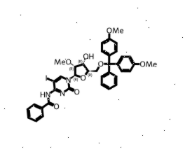 COc1ccc(C(OC[C@H]2O[C@@H](n3cc(I)c(NC(=O)c4ccccc4)nc3=O)[C@H](OC)[C@@H]2O)(c2ccccc2)c2ccc(OC)cc2)cc1